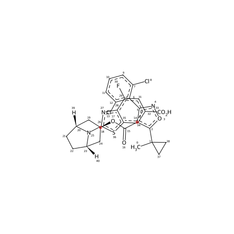 CC1(c2onc(-c3c(Cl)cccc3Cl)c2C(=O)O[C@@H]2C[C@H]3CC[C@@H](C2)N3c2nc3c(F)cc(C(=O)O)cc3s2)CC1